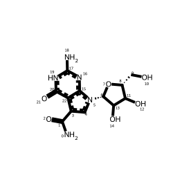 NC(=O)c1cn([C@@H]2O[C@H](CO)C(O)C2O)c2nc(N)[nH]c(=O)c12